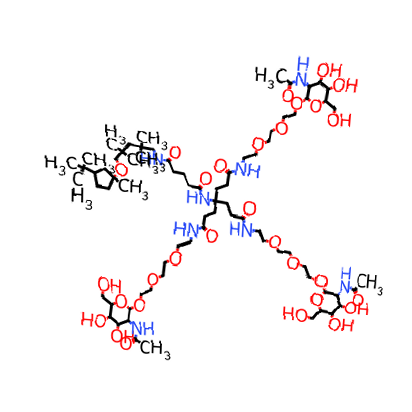 CC(=O)NC1C(OCCOCCOCCNC(=O)CCC(CCC(=O)NCCOCCOCCOC2OC(CO)C(O)C(O)C2NC(C)=O)(CCC(=O)NCCOCCOCCOC2OC(CO)C(O)C(O)C2NC(C)=O)NC(=O)CCCC(=O)NCC(C)(C)CC(C)(C)COC2(C)CCC(C(C)(C)C)C2)OC(CO)C(O)C1O